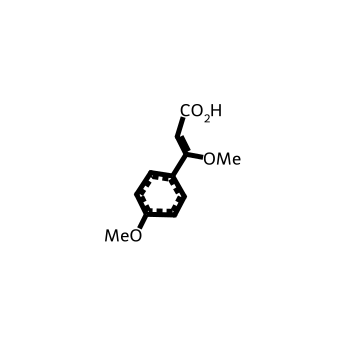 COC(=CC(=O)O)c1ccc(OC)cc1